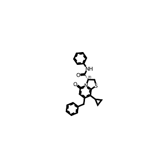 O=C(Nc1ccccc1)[C@@H]1CSc2c(C3CC3)c(Cc3ccccc3)cc(=O)n21